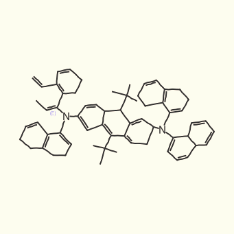 C=CC1=C(/C(=C\C)N(C2=CC3=C(C(C)(C)C)C4=CCC(N(C5=CCCC6=C5CCC=C6)C5=CC=CC6C=CC=CC56)C=C4C(C(C)(C)C)C3C=C2)C2=CCCC3=C2C=CCC3)CCC=C1